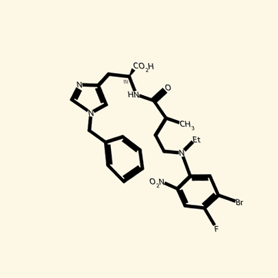 CCN(CCC(C)C(=O)N[C@@H](Cc1cn(Cc2ccccc2)cn1)C(=O)O)c1cc(Br)c(F)cc1[N+](=O)[O-]